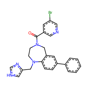 O=C(c1cncc(Br)c1)N1CCN(Cc2c[nH]cn2)c2ccc(-c3ccccc3)cc2C1